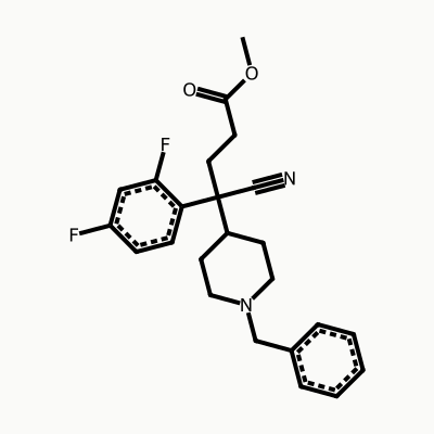 COC(=O)CCC(C#N)(c1ccc(F)cc1F)C1CCN(Cc2ccccc2)CC1